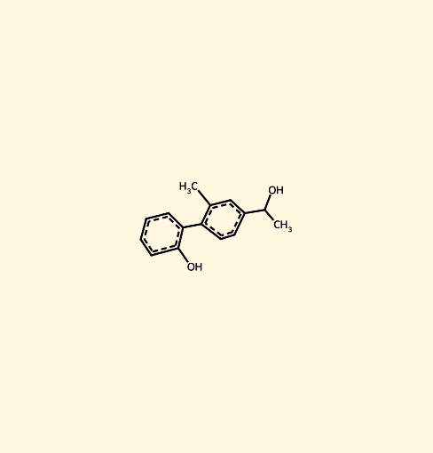 Cc1cc(C(C)O)ccc1-c1ccccc1O